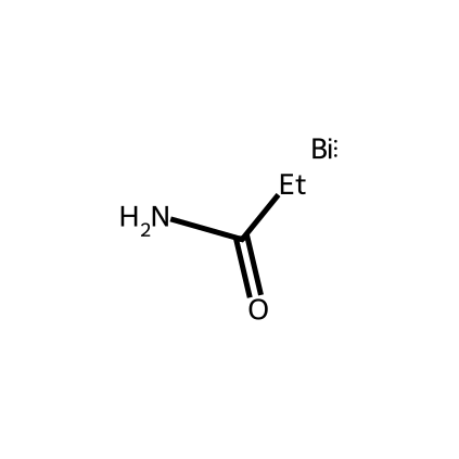 CCC(N)=O.[Bi]